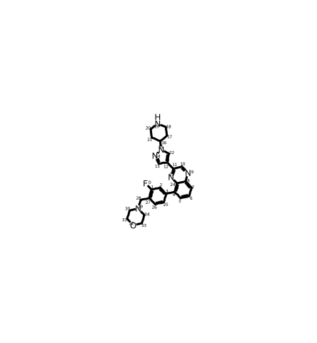 Fc1cc(-c2cccc3ncc(-c4cnn(C5CCNCC5)c4)nc23)ccc1CN1CCOCC1